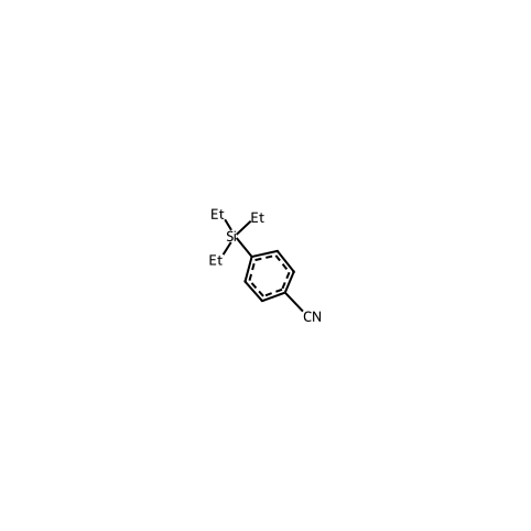 CC[Si](CC)(CC)c1ccc(C#N)cc1